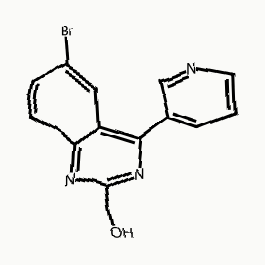 Oc1nc(-c2cccnc2)c2cc(Br)ccc2n1